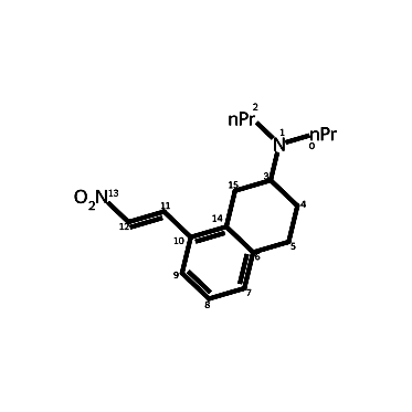 CCCN(CCC)C1CCc2cccc(C=C[N+](=O)[O-])c2C1